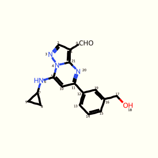 O=Cc1cnn2c(NC3CC3)cc(-c3cccc(CO)c3)nc12